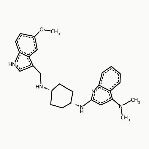 COc1ccc2[nH]cc(CN[C@H]3CC[C@@H](Nc4cc(N(C)C)c5ccccc5n4)CC3)c2c1